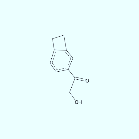 O=C(CO)c1ccc2c(c1)CC2